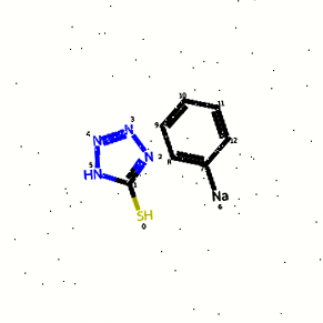 Sc1nnn[nH]1.[Na][c]1ccccc1